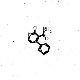 NC(=O)c1c(-c2ccccc2)ccnc1Cl